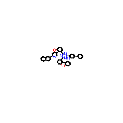 c1ccc(-c2ccc(C3N=C(c4cccc5oc6cc(-c7ccc8ccccc8c7)ncc6c45)N=C(c4cccc5oc6ccccc6c45)N3)cc2)cc1